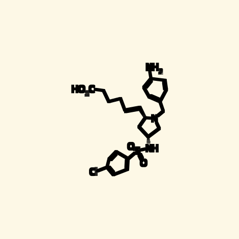 Nc1ccc(CN2C[C@H](NS(=O)(=O)c3ccc(Cl)cc3)C[C@H]2C=CCCCC(=O)O)cc1